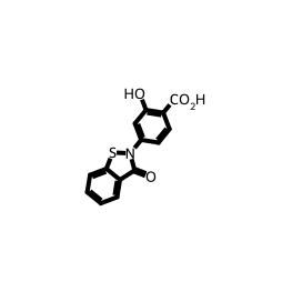 O=C(O)c1ccc(-n2sc3ccccc3c2=O)cc1O